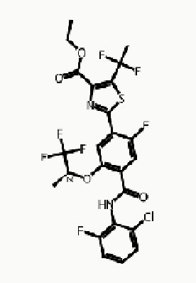 CCOC(=O)c1nc(-c2cc(O[C@@H](C)C(F)(F)F)c(C(=O)Nc3c(F)cccc3Cl)cc2F)sc1C(C)(F)F